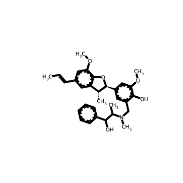 CC=Cc1cc(OC)c2c(c1)[C@@H](C)[C@H](c1cc(CN(C)C(C)C(O)c3ccccc3)c(O)c(OC)c1)O2